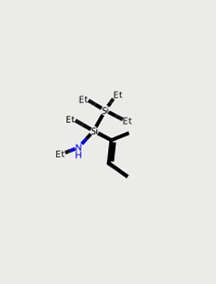 C/C=C(\C)[Si](CC)(NCC)[Si](CC)(CC)CC